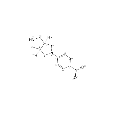 O=[N+]([O-])c1ccc(N2C[C@H]3CNC[C@H]3C2)cc1